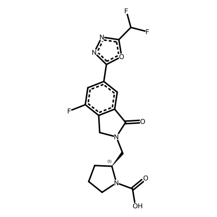 O=C1c2cc(-c3nnc(C(F)F)o3)cc(F)c2CN1C[C@@H]1CCCN1C(=O)O